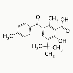 Cc1ccc(C(=O)c2cc(C(C)(C)C)c(O)c(C(=O)O)c2C)cc1